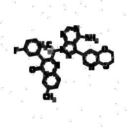 Cc1ccc2nc([C@H](C)n3nc(-c4cnc5c(c4)OCCO5)c4c(N)ncnc43)c(-c3cccc(F)c3)c(=O)n2c1